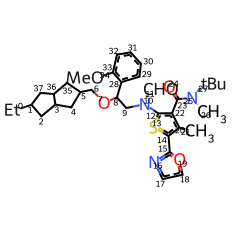 CCC1CC2CC(COC(CN(C=O)c3sc(-c4ncco4)c(C)c3C(=O)N(C)C(C)(C)C)c3ccccc3OC)CC2C1